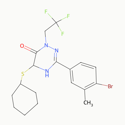 Cc1cc(C2=NN(CC(F)(F)F)C(=O)C(SC3CCCCC3)N2)ccc1Br